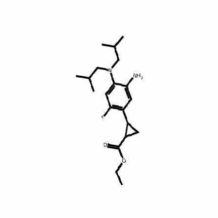 CCOC(=O)C1CC1c1cc(N)c(N(CC(C)C)CC(C)C)cc1F